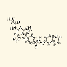 C=CC(=O)NC1CC(C)N(S(=O)(=O)c2ccc(C(=O)NCc3ccc4c(c3)CCCO4)cc2)C(C)C1